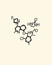 Cc1cc(Cl)c(COc2cccc3c(-n4cc(F)cn4)cc(C)nc23)c([C@H](C)NC(=O)[C@@H]2CNC(=O)N2)c1